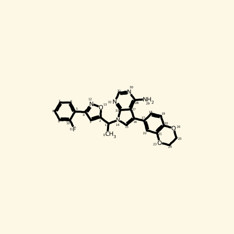 CC(c1cc(-c2ccccc2F)no1)n1cc(-c2ccc3c(c2)OCCO3)c2c(N)ncnc21